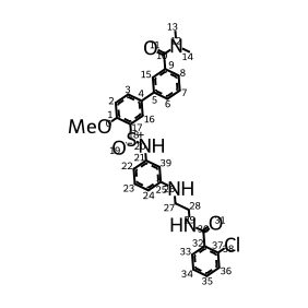 COc1ccc(-c2cccc(C(=O)N(C)C)c2)cc1[S+]([O-])Nc1cccc(NCCNC(=O)c2ccccc2Cl)c1